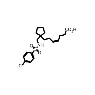 O=C(O)CC/C=C\CCC1(CNS(=O)(=O)c2ccc(Cl)cc2)CCCC1